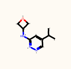 CC(C)c1cnnc(NC2COC2)c1